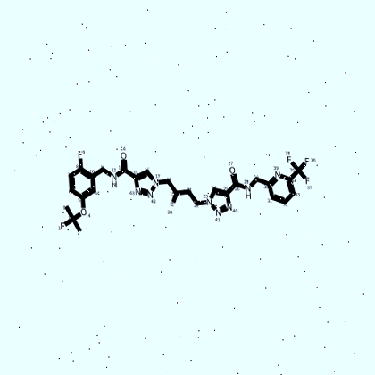 CC(C)(F)Oc1ccc(F)c(CNC(=O)c2cn(CC(F)CCn3cc(C(=O)NCc4cccc(C(F)(F)F)n4)nn3)nn2)c1